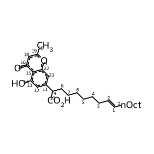 CCCCCCCCC=CCCCCCCC(C(=O)O)c1cc(O)c2c(=O)cc(C)oc2c1